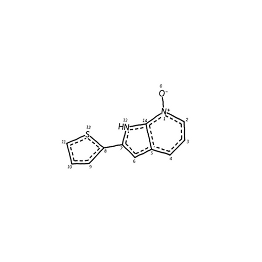 [O-][n+]1cccc2cc(-c3cccs3)[nH]c21